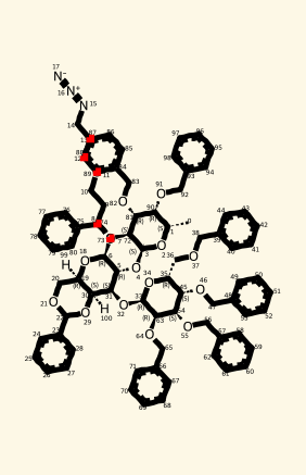 C[C@@H]1O[C@@H](O[C@H]2[C@H](OCCCOCCCN=[N+]=[N-])O[C@@H]3COC(c4ccccc4)O[C@@H]3[C@@H]2O[C@H]2O[C@H](COCc3ccccc3)[C@H](OCc3ccccc3)[C@H](OCc3ccccc3)[C@H]2OCc2ccccc2)[C@@H](OCc2ccccc2)[C@H](OCc2ccccc2)[C@@H]1OCc1ccccc1